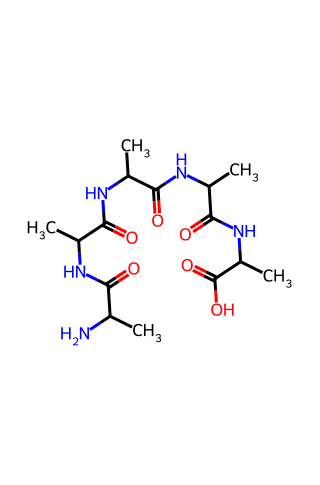 CC(N)C(=O)NC(C)C(=O)NC(C)C(=O)NC(C)C(=O)NC(C)C(=O)O